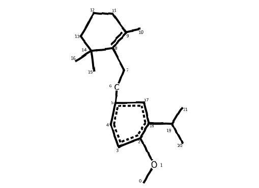 COc1ccc(CCC2=C(C)CCCC2(C)C)cc1C(C)C